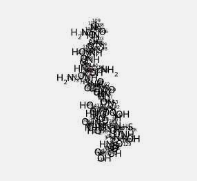 CC[C@H](C)[C@H](NC(=O)[C@@H](NC(=O)[C@H](CCSC)NC(=O)[C@H](CCC(=O)O)NC(=O)[C@@H](NC(=O)[C@H](CCC(N)=O)NC(=O)[C@H](CC(=O)O)NC(=O)[C@@H]1CCCN1C(=O)CNC(=O)[C@H](C)NC(=O)[C@@H](NC(=O)[C@H](CCCCN)NC(=O)[C@@H](NC(=O)[C@H](CCCCN)NC(=O)[C@@H](NC(=O)[C@@H]1CCCN1C(=O)CNC(=O)[C@@H]1CCCN1C(=O)CN)[C@@H](C)O)[C@@H](C)O)[C@@H](C)O)[C@@H](C)O)[C@@H](C)O)C(=O)N[C@@H](CCC(=O)O)C(=O)O